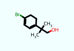 CC(C)(CO)C1=CC=C(Br)CC1